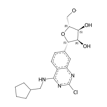 [O]C[C@H]1O[C@@H](c2ccc3c(NCC4CCCC4)nc(Cl)nc3c2)[C@H](O)[C@@H]1O